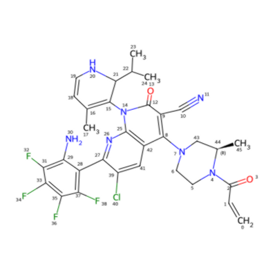 C=CC(=O)N1CCN(c2c(C#N)c(=O)n(C3=C(C)C=CNC3C(C)C)c3nc(-c4c(N)c(F)c(F)c(F)c4F)c(Cl)cc23)C[C@H]1C